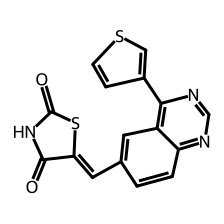 O=C1NC(=O)C(=Cc2ccc3ncnc(-c4ccsc4)c3c2)S1